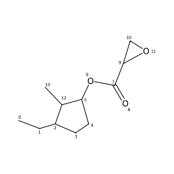 CCC1CCC(OC(=O)C2CO2)C1C